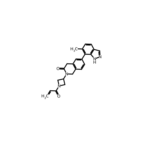 C=CC(=O)N1CC(N2Cc3ccc(-c4c(C)ccc5cn[nH]c45)cc3CC2=O)C1